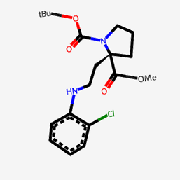 COC(=O)[C@@]1(CCNc2ccccc2Cl)CCCN1C(=O)OC(C)(C)C